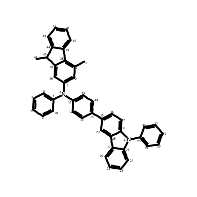 Cc1cc(N(c2ccccc2)c2ccc(-c3ccc4c(c3)c3ccccc3n4-c3ccccc3)cc2)cc2c1-c1ccccc1C2C